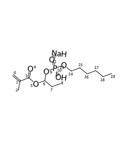 C=C(C)C(=O)OC(CC)OP(=O)(O)OCCCCCC.[NaH]